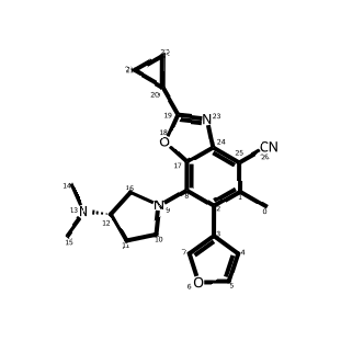 Cc1c(-c2ccoc2)c(N2CC[C@H](N(C)C)C2)c2oc(C3CC3)nc2c1C#N